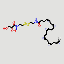 CC/C=C\C/C=C\C/C=C\C/C=C\C/C=C\C/C=C\CCC(=O)NCCSSCCNC(=O)C(O)CO